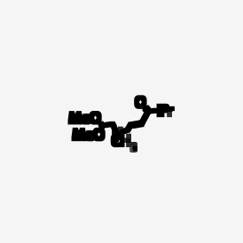 COC(CN(C)C/C=C/C(=O)C(C)C)OC